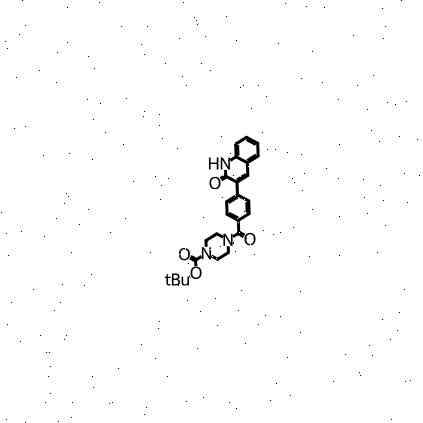 CC(C)(C)OC(=O)N1CCN(C(=O)c2ccc(-c3cc4ccccc4[nH]c3=O)cc2)CC1